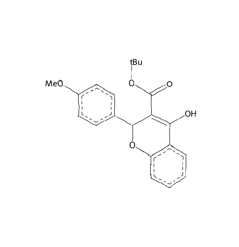 COc1ccc(C2Oc3ccccc3C(O)=C2C(=O)OC(C)(C)C)cc1